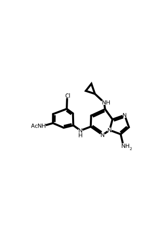 CC(=O)Nc1cc(Cl)cc(Nc2cc(NC3CC3)c3ncc(N)n3n2)c1